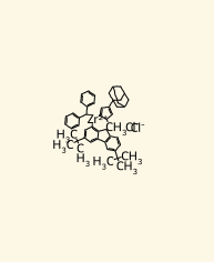 CC1C=C(C23CC4CC(CC(C4)C2)C3)C=[C]1[Zr+2](=[C](c1ccccc1)c1ccccc1)[c]1cc(C(C)(C)C)cc2c1Cc1ccc(C(C)(C)C)cc1-2.[Cl-].[Cl-]